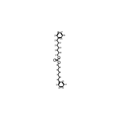 O=C(OCCCCCCCc1ccccc1)OCCCCCCCc1ccccc1